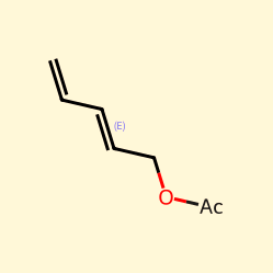 C=C/C=C/COC(C)=O